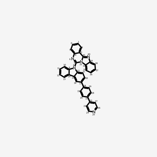 c1ccc2c(c1)nc(-n1c3ccccc3c3cc(-c4ccc(-c5ccncc5)cc4)ccc31)n1c3ccccc3nc21